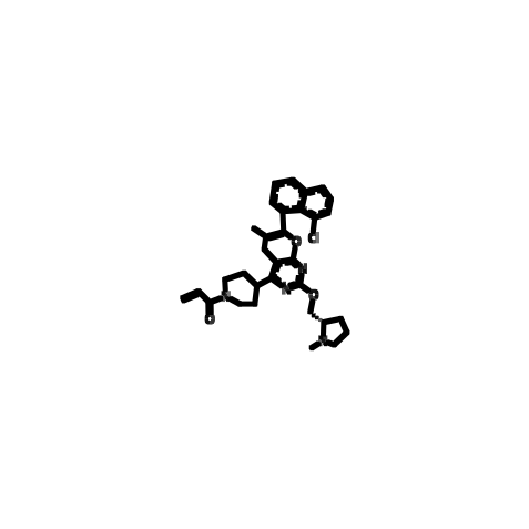 C=CC(=O)N1CCC(c2nc(OC[C@@H]3CCCN3C)nc3c2CC(C)=C(c2cccc4cccc(Cl)c24)O3)CC1